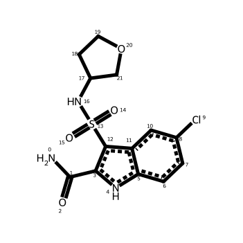 NC(=O)c1[nH]c2ccc(Cl)cc2c1S(=O)(=O)NC1CCOC1